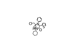 O=C(NC1CCCCC1)C(c1cccs1)N(C(=O)CCl)c1ccccc1